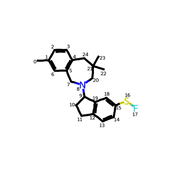 Cc1ccc2c(c1)CN(C1CCc3ccc(SF)cc31)CC(C)(C)C2